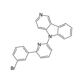 Brc1cccc(-c2cccc(-n3c4ccccc4c4cnccc43)n2)c1